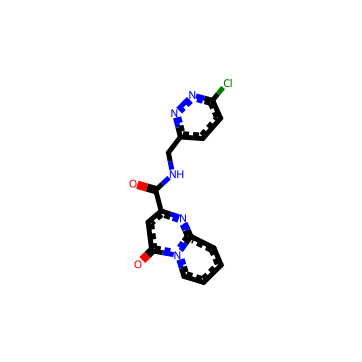 O=C(NCc1ccc(Cl)nn1)c1cc(=O)n2ccccc2n1